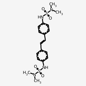 CN(C)S(=O)(=O)Nc1ccc(/C=C/c2ccc(NS(=O)(=O)N(C)C)cc2)cc1